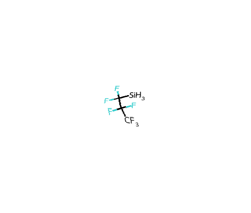 FC(F)(F)C(F)(F)C(F)(F)[SiH3]